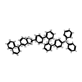 c1ccc(N(c2ccccc2)c2ccc(-c3ccccc3-c3ccccc3-c3ccc(-c4nc5cc(-c6cccc7ccccc67)ccc5o4)cc3)cc2)cc1